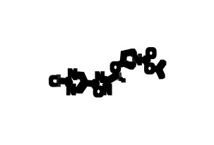 CC(C)OC(=O)N1CCC(O[C@H](C)c2noc(-c3cnc(Cl)nc3)n2)C1